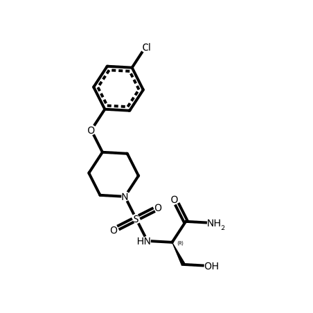 NC(=O)[C@@H](CO)NS(=O)(=O)N1CCC(Oc2ccc(Cl)cc2)CC1